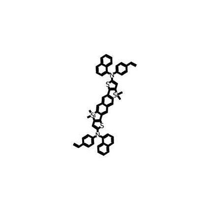 C=Cc1ccc(N(c2cc3c(s2)-c2cc4cc5c(cc4cc2[Si]3(C)C)-c2sc(N(c3ccc(C=C)cc3)c3cccc4ccccc34)cc2[Si]5(C)C)c2cccc3ccccc23)cc1